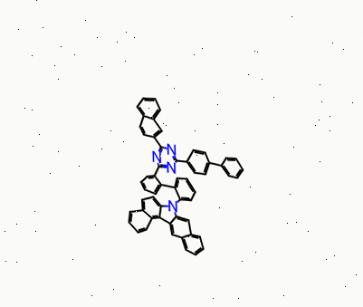 c1ccc(-c2ccc(-c3nc(-c4ccc5ccccc5c4)nc(-c4ccccc4-c4ccccc4-n4c5cc6ccccc6cc5c5c6ccccc6ccc54)n3)cc2)cc1